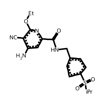 CCOc1nc(C(=O)NCc2ccc(S(=O)(=O)C(C)C)cc2)cc(N)c1C#N